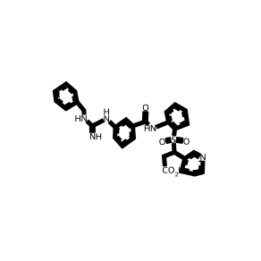 N=C(NCc1ccccc1)Nc1cccc(C(=O)Nc2ccccc2S(=O)(=O)C(CC(=O)O)c2cccnc2)c1